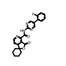 O=C(Nc1ncc(-c2ccccc2F)cn1)c1nccc2c1C(=O)OC21CCCCC1